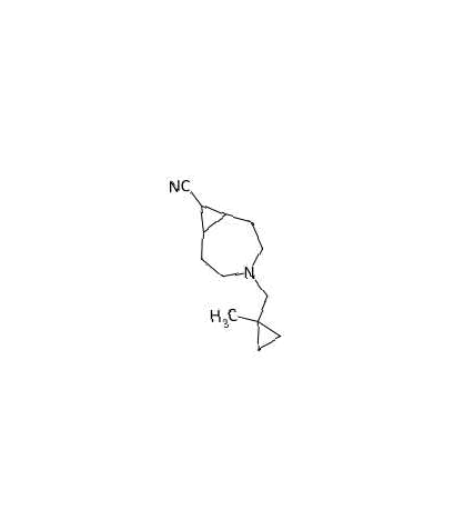 CC1(CN2CCC3C(C#N)C3CC2)CC1